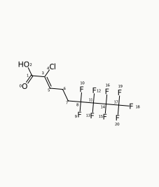 O=C(O)C(Cl)=CCCC(F)(F)C(F)(F)C(F)(F)C(F)(F)F